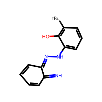 CC(C)(C)c1cccc(N/N=C2/C=CC=CC2=N)c1O